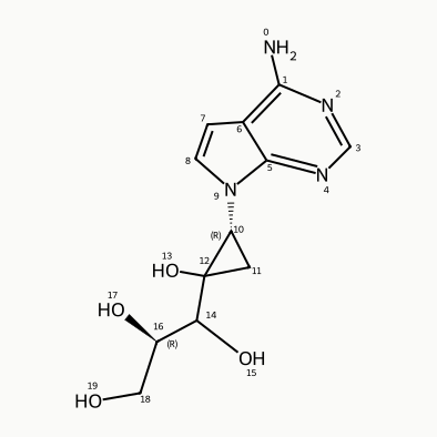 Nc1ncnc2c1ccn2[C@@H]1CC1(O)C(O)[C@H](O)CO